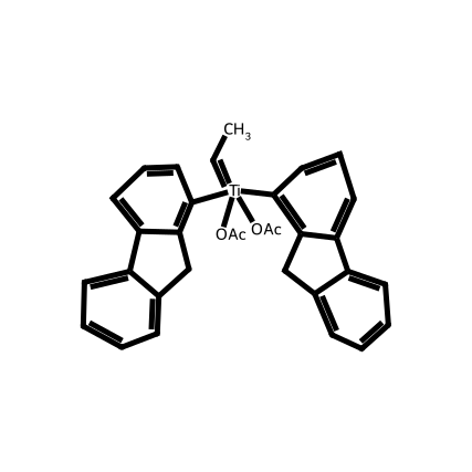 C[CH]=[Ti]([O]C(C)=O)([O]C(C)=O)([c]1cccc2c1Cc1ccccc1-2)[c]1cccc2c1Cc1ccccc1-2